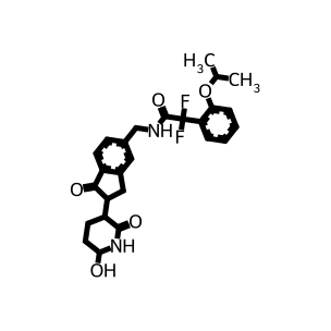 CC(C)Oc1ccccc1C(F)(F)C(=O)NCc1ccc2c(c1)CC(C1CCC(O)NC1=O)C2=O